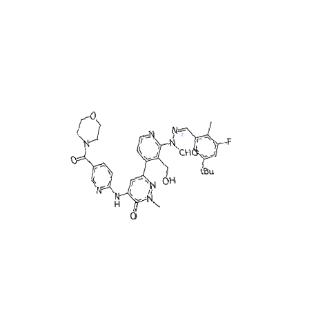 Cc1c(F)cc(C(C)(C)C)cc1/C=N\N(C=O)c1nccc(-c2cc(Nc3ccc(C(=O)N4CCOCC4)cn3)c(=O)n(C)n2)c1CO